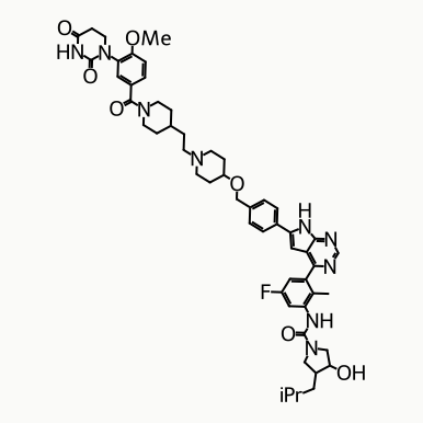 COc1ccc(C(=O)N2CCC(CCN3CCC(OCc4ccc(-c5cc6c(-c7cc(F)cc(NC(=O)N8CC(O)C(CC(C)C)C8)c7C)ncnc6[nH]5)cc4)CC3)CC2)cc1N1CCC(=O)NC1=O